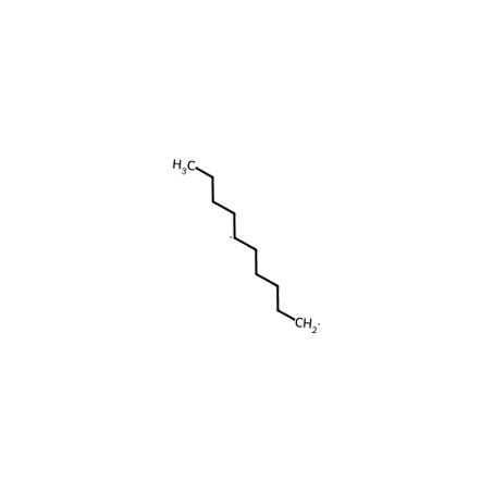 [CH2]CCCC[CH]CCCC